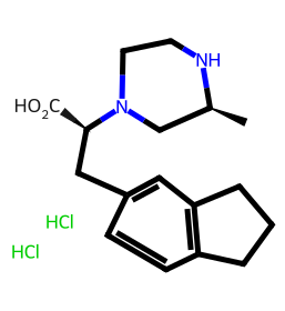 C[C@H]1CN([C@@H](Cc2ccc3c(c2)CCC3)C(=O)O)CCN1.Cl.Cl